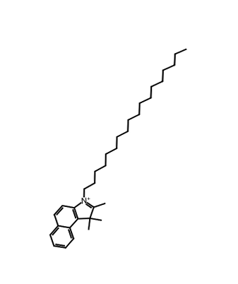 CCCCCCCCCCCCCCCCCC[N+]1=C(C)C(C)(C)c2c1ccc1ccccc21